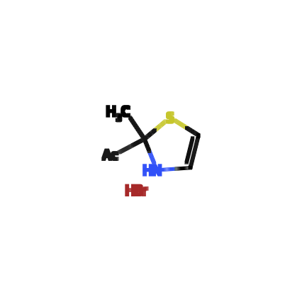 Br.CC(=O)C1(C)NC=CS1